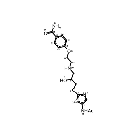 CC(=O)Nc1cnc(OCC(O)CNCCOc2ccc(C(N)=O)cc2)s1